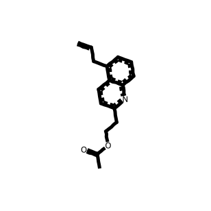 C=CCc1cccc2nc(CCOC(C)=O)ccc12